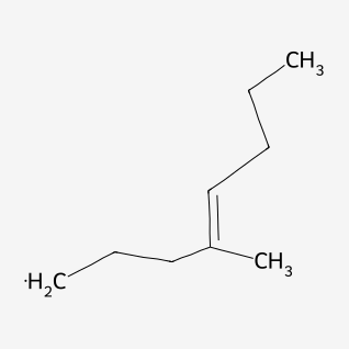 [CH2]CCC(C)=CCCC